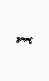 c1ccc(-c2nc(-c3ccccc3)nc(-c3ccc4oc5c(-c6cccc(-c7ccc8c(c7)c7ccccc7n8-c7ccccc7)c6)cccc5c4c3)n2)cc1